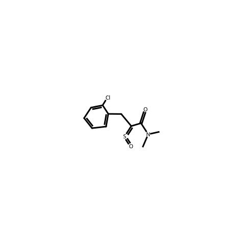 CN(C)C(=O)C(Cc1ccccc1Cl)=S=O